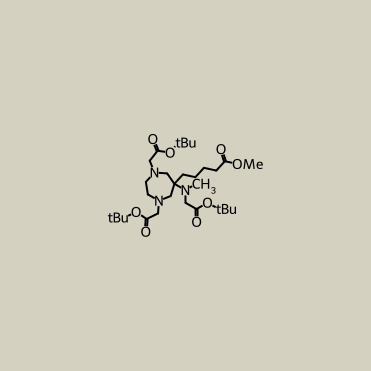 COC(=O)CCCCC1(N(C)CC(=O)OC(C)(C)C)CN(CC(=O)OC(C)(C)C)CCN(CC(=O)OC(C)(C)C)C1